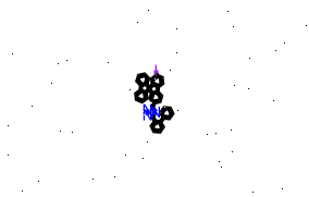 Ic1ccc2c(c1)C1(c3ccccc3-c3ccccc31)c1cc(-c3nnc4c5ccccc5c5ccccc5n34)ccc1-2